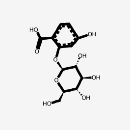 O=C(O)c1ccc(O)cc1O[C@@H]1O[C@H](CO)[C@@H](O)[C@H](O)[C@H]1O